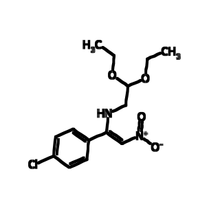 CCOC(CNC(=C[N+](=O)[O-])c1ccc(Cl)cc1)OCC